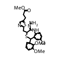 COC(=O)CCc1cnc(CC2SC(c3cccc(OC)c3OC)c3cc(Cl)ccc3NC2=NN)s1